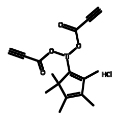 C#CC(=O)[O][Ti]([O]C(=O)C#C)[C]1=C(C)C(C)=C(C)C1(C)C.Cl